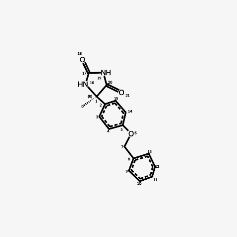 C[C@]1(c2ccc(OCc3ccccc3)cc2)NC(=O)NC1=O